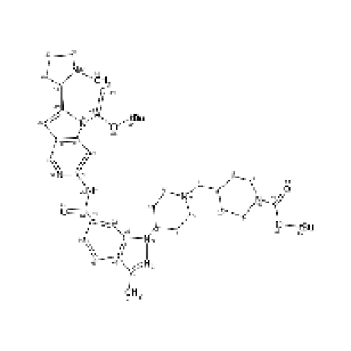 Cc1nn(C2CCN(CC3CCN(C(=O)OC(C)(C)C)CC3)CC2)c2cc(C(=O)Nc3cc4c(cn3)cc([C@H]3CCCN3C)n4C(=O)OC(C)(C)C)ccc12